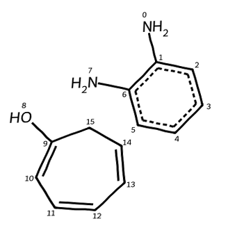 Nc1ccccc1N.OC1=CC=CC=CC1